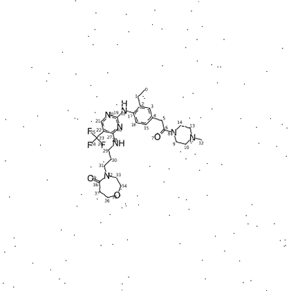 CCc1cc(CC(=O)N2CCN(C)CC2)ccc1Nc1ncc(C(F)(F)F)c(NCCCN2CCOCCC2=O)n1